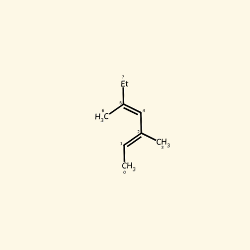 CC=C(C)C=C(C)CC